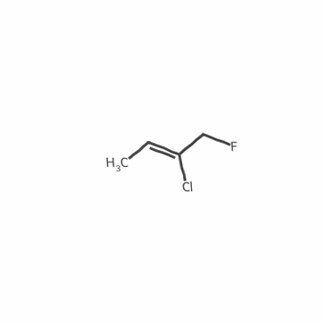 C/C=C(\Cl)CF